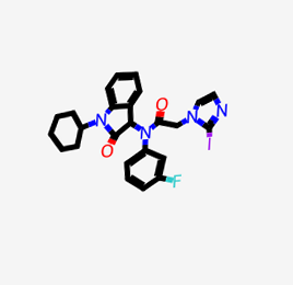 O=C1C(N(C(=O)Cn2ccnc2I)c2cccc(F)c2)c2ccccc2N1C1CCCCC1